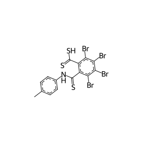 Cc1ccc(NC(=S)c2c(Br)c(Br)c(Br)c(Br)c2C(=S)S)cc1